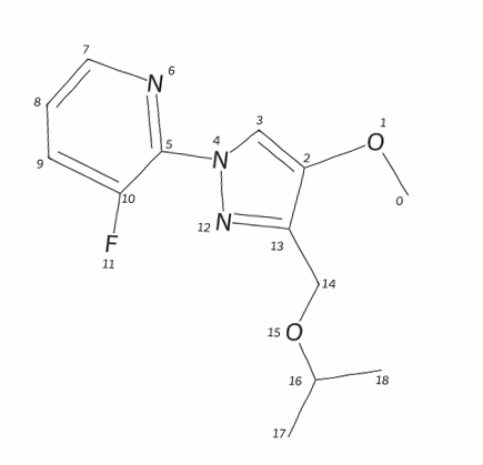 COc1cn(-c2ncccc2F)nc1COC(C)C